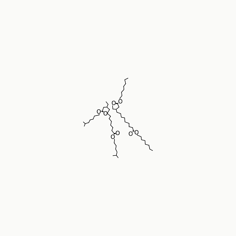 CCC(CCCCCCCCC(=O)OCCCCCC(C)C)CC(=O)OCCCCCC(C)C.CCCCCCCCOC(=O)CCCCCCCCC(CC)CC(=O)OCCCCCCCC